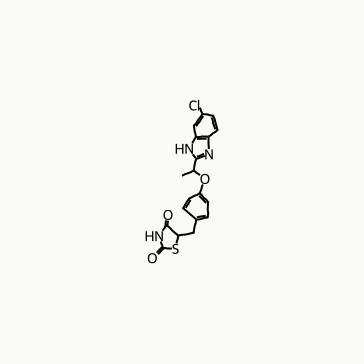 CC(Oc1ccc(CC2SC(=O)NC2=O)cc1)c1nc2ccc(Cl)cc2[nH]1